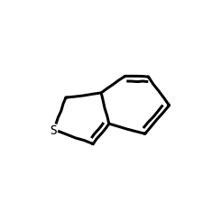 C1=CC2=CSCC2C=C1